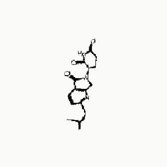 CC(C)Cc1ccc2c(n1)CN(C1CCC(=O)NC1=O)C2=O